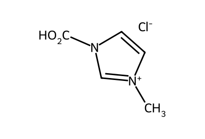 C[n+]1ccn(C(=O)O)c1.[Cl-]